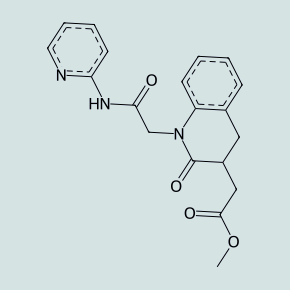 COC(=O)CC1Cc2ccccc2N(CC(=O)Nc2ccccn2)C1=O